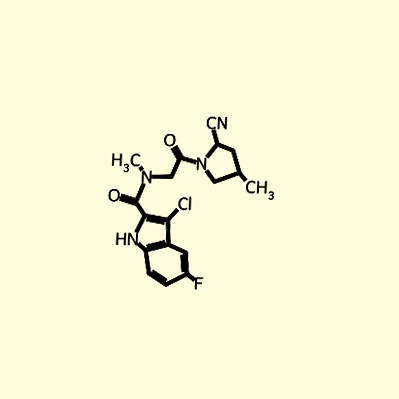 CC1CC(C#N)N(C(=O)CN(C)C(=O)c2[nH]c3ccc(F)cc3c2Cl)C1